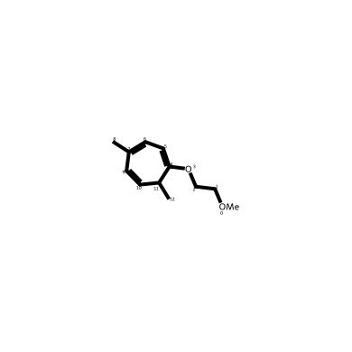 COCCOC1=CC=C(C)C=CC1C